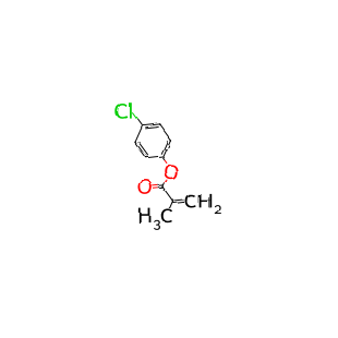 C=C(C)C(=O)Oc1ccc(Cl)cc1